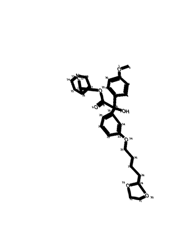 COc1ccc(C(O)(C(=O)OC2CN3CCC2CC3)c2cccc(OCCCCC3OCCO3)c2)cc1